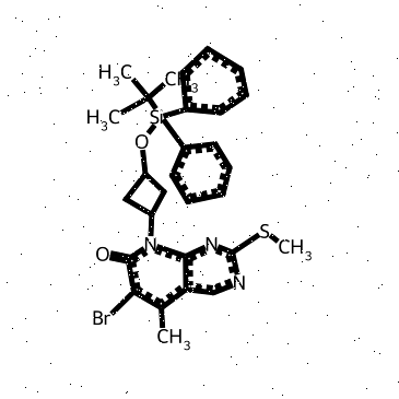 CSc1ncc2c(C)c(Br)c(=O)n(C3CC(O[Si](c4ccccc4)(c4ccccc4)C(C)(C)C)C3)c2n1